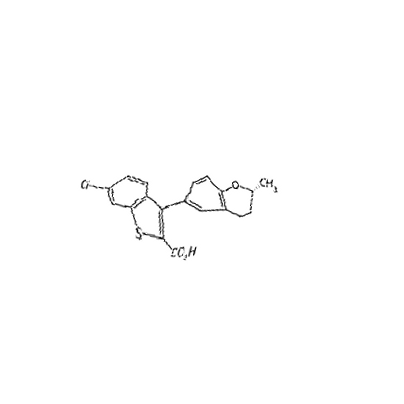 C[C@@H]1CCc2cc(-c3c(C(=O)O)sc4cc(Cl)ccc34)ccc2O1